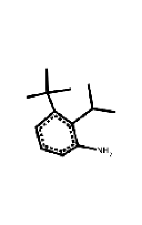 CC(C)c1c(N)cccc1C(C)(C)C